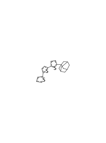 c1csc(-c2ccc(-c3ccc(C45CC6CC(CC(C6)C4)C5)s3)s2)c1